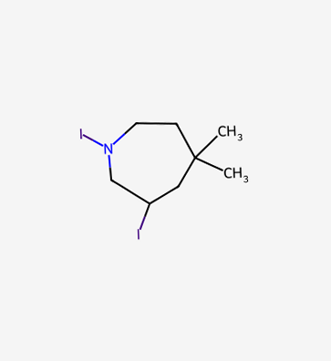 CC1(C)CCN(I)CC(I)C1